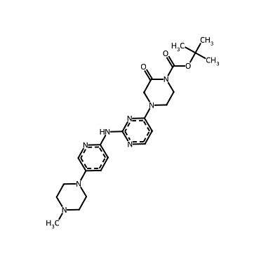 CN1CCN(c2ccc(Nc3nccc(N4CCN(C(=O)OC(C)(C)C)C(=O)C4)n3)nc2)CC1